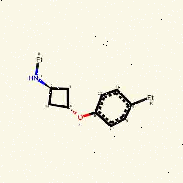 CCN[C@H]1C[C@H](Oc2ccc(CC)cc2)C1